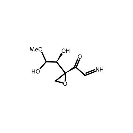 COC(O)[C@@H](O)[C@@]1(C(=O)C=N)CO1